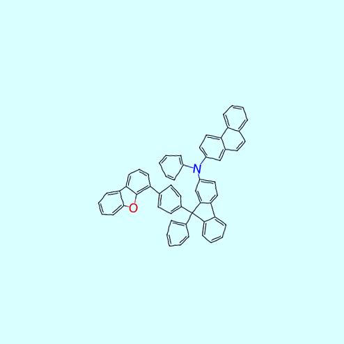 c1ccc(N(c2ccc3c(c2)C(c2ccccc2)(c2ccc(-c4cccc5c4oc4ccccc45)cc2)c2ccccc2-3)c2ccc3c(ccc4ccccc43)c2)cc1